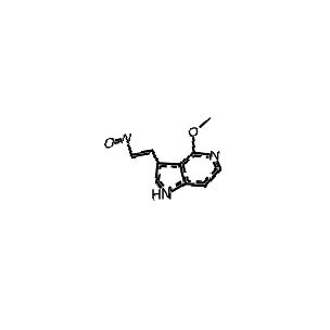 COc1nccc2[nH]cc(/C=C/N=O)c12